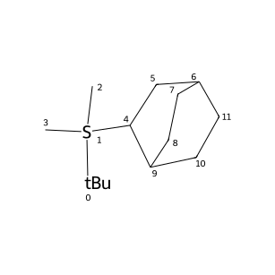 CC(C)(C)S(C)(C)C1CC2CCC1CC2